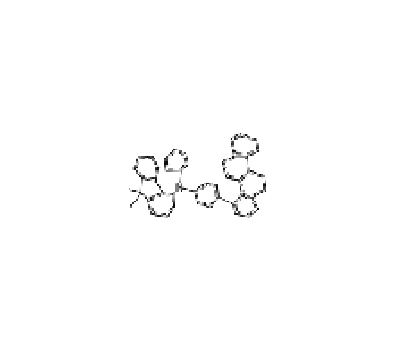 CC1(C)c2ccccc2-c2c(N(c3ccccc3)c3ccc(-c4cccc5ccc6c7ccccc7ccc6c45)cc3)cccc21